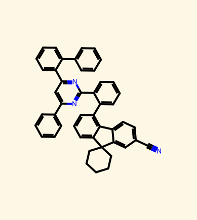 N#Cc1ccc2c(c1)C1(CCCCC1)c1cccc(-c3ccccc3-c3nc(-c4ccccc4)cc(-c4ccccc4-c4ccccc4)n3)c1-2